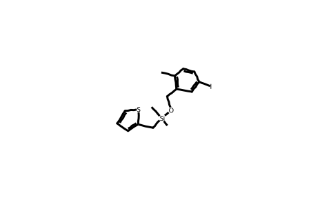 Cc1ccc(I)cc1CO[Si](C)(C)Cc1cccs1